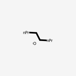 CCCCCCCC.[O]